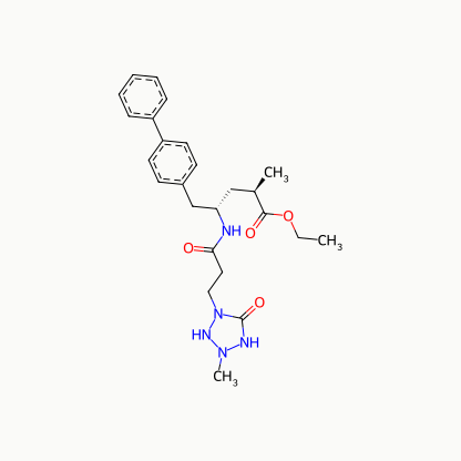 CCOC(=O)[C@H](C)C[C@@H](Cc1ccc(-c2ccccc2)cc1)NC(=O)CCN1NN(C)NC1=O